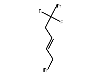 CC(C)C/C=C/CC(F)(F)C(C)C